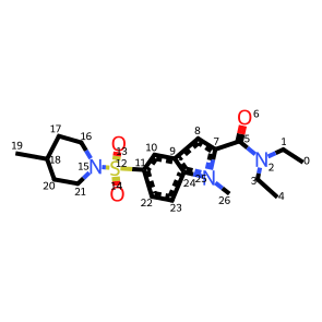 CCN(CC)C(=O)c1cc2cc(S(=O)(=O)N3CCC(C)CC3)ccc2n1C